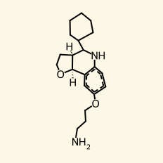 NCCCOc1ccc2c(c1)[C@H]1OCC[C@H]1C(C1CCCCC1)N2